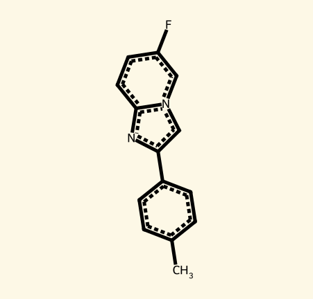 Cc1ccc(-c2cn3cc(F)ccc3n2)cc1